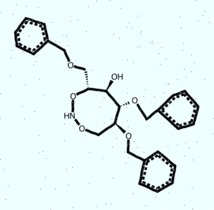 O[C@H]1[C@H](OCc2ccccc2)[C@@H](OCc2ccccc2)CONO[C@@H]1COCc1ccccc1